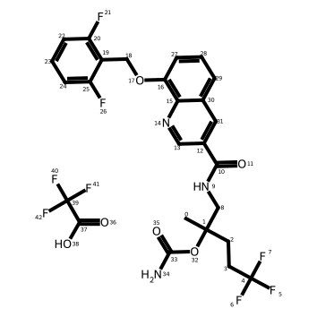 CC(CCC(F)(F)F)(CNC(=O)c1cnc2c(OCc3c(F)cccc3F)cccc2c1)OC(N)=O.O=C(O)C(F)(F)F